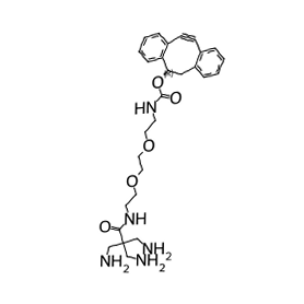 NCC(CN)(CN)C(=O)NCCOCCOCCNC(=O)O[C@@H]1Cc2ccccc2C#Cc2ccccc21